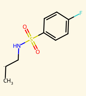 C[CH]CNS(=O)(=O)c1ccc(F)cc1